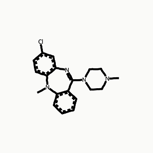 CN1CCN(C2=Nc3cc(Cl)ccc3N(C)c3ccccc32)CC1